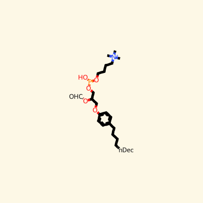 CCCCCCCCCCCCCCc1ccc(OCC(COP(O)OCCCC[N+](C)(C)C)OC=O)cc1